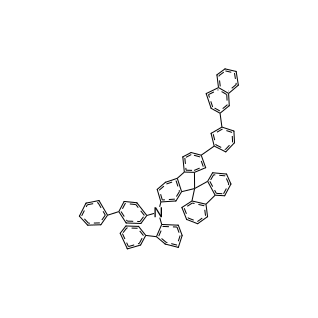 c1ccc(-c2ccc(N(c3ccc4c(c3)C3(c5ccccc5-c5ccccc53)c3cc(-c5cccc(-c6ccc7ccccc7c6)c5)ccc3-4)c3ccccc3-c3ccccc3)cc2)cc1